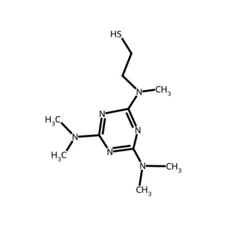 CN(C)c1nc(N(C)C)nc(N(C)CCS)n1